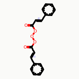 O=C(/C=C/c1ccccc1)OOOC(=O)/C=C/c1ccccc1